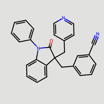 N#Cc1cccc(CC2(Cc3ccncc3)C(=O)N(c3ccccc3)c3ccccc32)c1